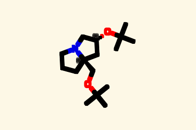 CC(C)(C)OC[C@@]12CCCN1C[C@H](OC(C)(C)C)C2